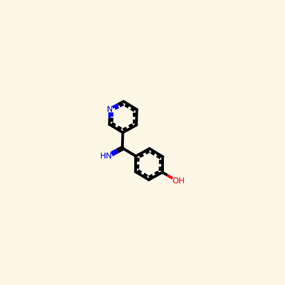 N=C(c1ccc(O)cc1)c1cccnc1